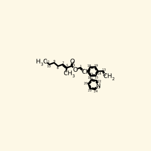 C=COC(=O)/C(C)=C/CCCC.C=Cc1ccccc1.c1ccncc1